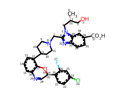 C[C@H](CO)Cn1c(CN2CCC(c3cccc4c3O[C@@H](c3ccc(Cl)cc3F)C=N4)CC2)nc2ccc(C(=O)O)cc21